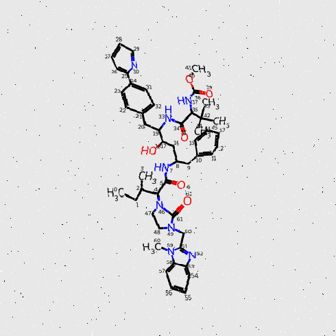 CCC(C)C(C(=O)NC(Cc1ccccc1)CC(O)C(Cc1ccc(-c2ccccn2)cc1)NC(=O)C(NC(=O)OC)C(C)(C)C)N1CCN(Cc2nc3ccccc3n2C)C1=O